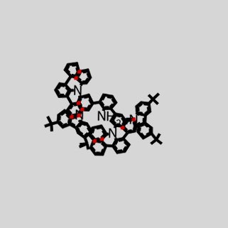 CC(C)(C)c1ccc2c(c1)c1cc(C(C)(C)C)ccc1n2-c1cc(-c2cccc(-c3cc(N(c4ccccc4)c4c(-c5ccccc5)cccc4-c4ccccc4)cc(-n4c5ccc(C(C)(C)C)cc5c5cc(C(C)(C)C)ccc54)c3)c2N)cc(N(c2ccccc2)c2c(-c3ccccc3)cccc2-c2ccccc2)c1